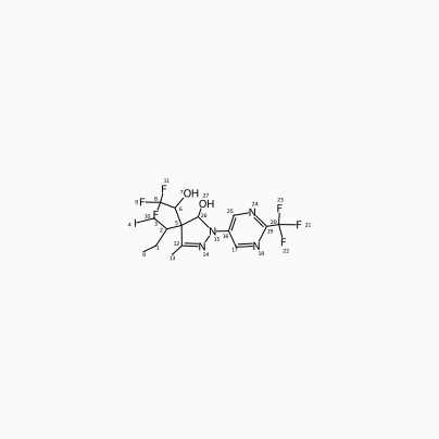 CCC(CI)C1(C(O)C(F)(F)F)C(C)=NN(c2cnc(C(F)(F)F)nc2)C1O